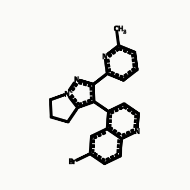 Cc1cccc(-c2nn3c(c2-c2ccnc4ccc(Br)cc24)CCC3)n1